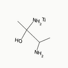 CC(N)C(C)(N)O.[Ti]